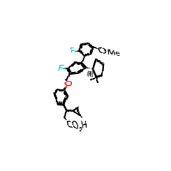 COc1ccc(F)c(-c2cc(F)c(COc3cccc(C(CC(=O)O)C4CC4)c3)cc2[C@@H]2CCCC2(C)C)c1